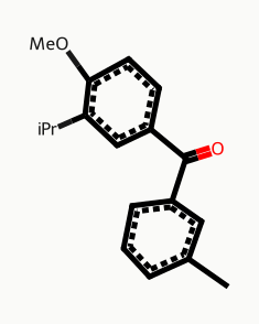 COc1ccc(C(=O)c2cccc(C)c2)cc1C(C)C